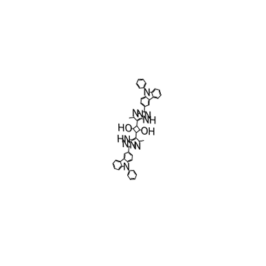 Cc1nn2c(-c3ccc4c(c3)c3ccccc3n4-c3ccccc3)n[nH]c2c1C1C(O)C(c2c(C)nn3c(-c4ccc5c(c4)c4ccccc4n5-c4ccccc4)n[nH]c23)C1O